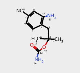 CC(C)(Cc1ccc(C#N)cc1N)OC(N)=O